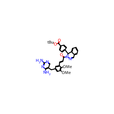 COc1cc(Cc2cnc(N)nc2N)cc(C=CC(=O)N2N=Cc3ccccc3C2c2ccc(C(=O)OC(C)(C)C)cc2)c1OC